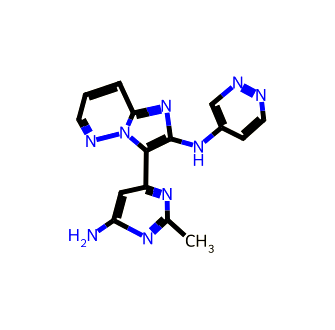 Cc1nc(N)cc(-c2c(Nc3ccnnc3)nc3cccnn23)n1